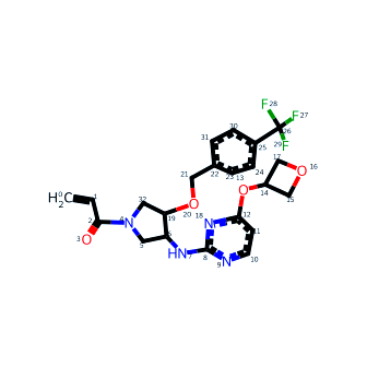 C=CC(=O)N1CC(Nc2nccc(OC3COC3)n2)C(OCc2ccc(C(F)(F)F)cc2)C1